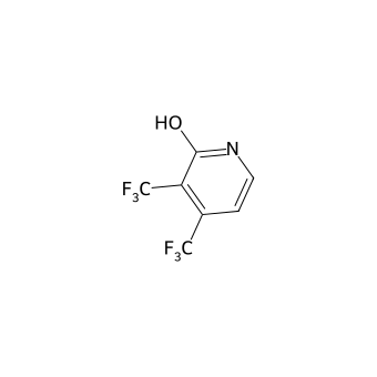 Oc1nccc(C(F)(F)F)c1C(F)(F)F